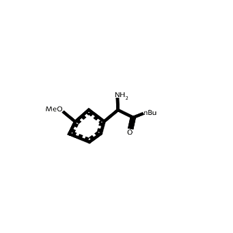 CCCCC(=O)C(N)c1cccc(OC)c1